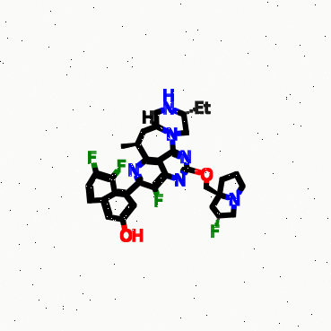 CC[C@@H]1CN2c3nc(OC[C@@]45CCCN4C[C@H](F)C5)nc4c(F)c(-c5cc(O)cc6ccc(F)c(F)c56)nc(c34)[C@@H](C)C[C@@H]2CN1